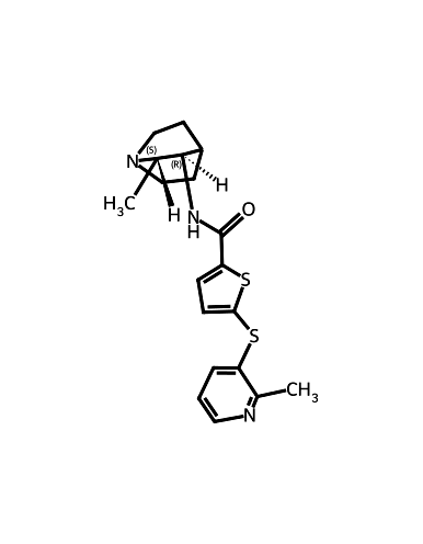 Cc1ncccc1Sc1ccc(C(=O)N[C@@H]2C3CCN(CC3)[C@H]2C)s1